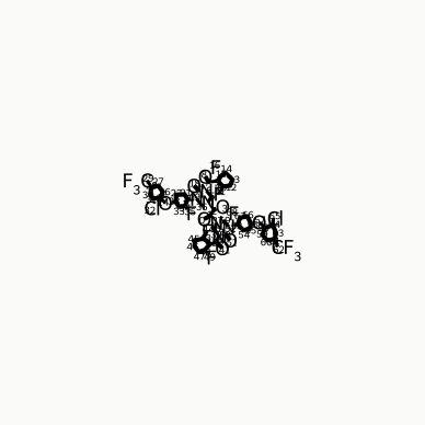 O=C(C(=O)N1CN(C(=O)c2c(F)cccc2F)C(=O)N(c2ccc(Oc3ccc(C(F)(F)F)cc3Cl)cc2F)C1)N1CN(C(=O)c2c(F)cccc2F)C(=O)N(c2ccc(Oc3ccc(C(F)(F)F)cc3Cl)cc2F)C1